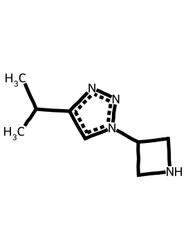 CC(C)c1cn(C2CNC2)nn1